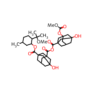 COC(=O)OC12CC3CC(O)(C1)CC(C(=O)OC(=O)C14CC5CC(O)(C1)CC(C(=O)OC1CC(C)CCC1C(C)(C)OC)(C5)C4)(C3)C2